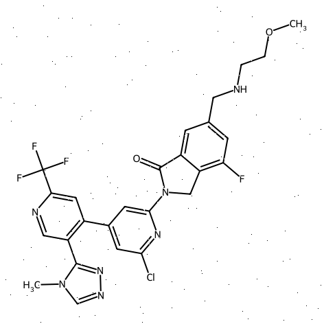 COCCNCc1cc(F)c2c(c1)C(=O)N(c1cc(-c3cc(C(F)(F)F)ncc3-c3nncn3C)cc(Cl)n1)C2